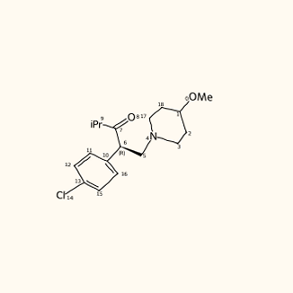 COC1CCN(C[C@H](C(=O)C(C)C)c2ccc(Cl)cc2)CC1